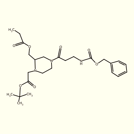 CCC(=O)OCC1CN(C(=O)CCNC(=O)OCc2ccccc2)CCN1CC(=O)OC(C)(C)C